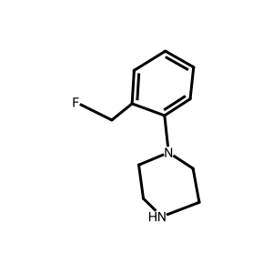 FCc1ccccc1N1CCNCC1